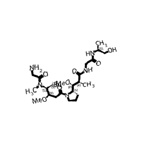 CC[C@H](C)[C@@H]([C@@H](CC(=O)N1CCC[C@H]1[C@H](OC)[C@@H](C)C(=O)NCC(=O)N[C@@H](C)CO)OC)N(C)C(=O)CN